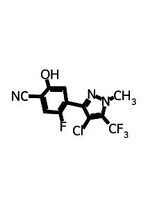 Cn1nc(-c2cc(O)c(C#N)cc2F)c(Cl)c1C(F)(F)F